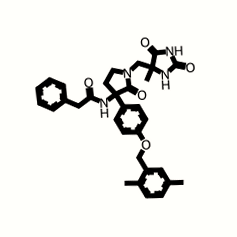 Cc1ccc(C)c(COc2ccc(C3(NC(=O)Cc4ccccc4)CCN(CC4(C)NC(=O)NC4=O)C3=O)cc2)c1